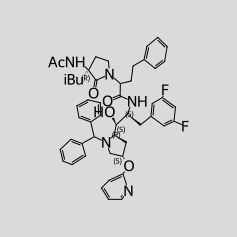 CC[C@@H](C)C1(NC(C)=O)CCN(C(CCc2ccccc2)C(=O)N[C@@H](Cc2cc(F)cc(F)c2)[C@H](O)[C@H]2C[C@H](Oc3ccccn3)CN2C(c2ccccc2)c2ccccc2)C1=O